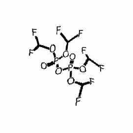 O=P(OC(F)F)(OC(F)F)OP(=O)(OC(F)F)OC(F)F